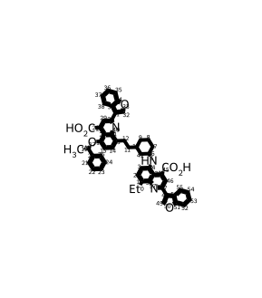 CCc1ccc(NC2CCCC(CCc3ccc(O[C@@H](C)c4ccccc4)c4c(C(=O)O)cc(-c5coc6ccccc56)nc34)C2)c2c(C(=O)O)cc(-c3coc4ccccc34)nc12